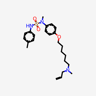 C=CCN(C)CCCCCCOc1ccc(N(C)S(=O)(=O)Nc2ccc(C)cc2)cc1